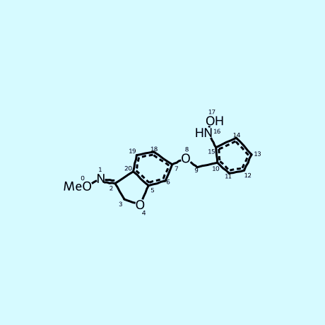 CO/N=C1\COc2cc(OCc3ccccc3NO)ccc21